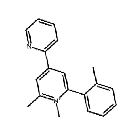 Cc1ccccc1-c1cc(-c2ccccn2)cc(C)[n+]1C